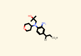 CCC(CC(=O)O)c1ccc(N(CC(C)(C)O)C2CCOCC2)c(N)c1